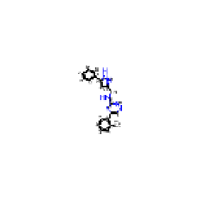 CCc1ccccc1-c1cnnc(NCc2cc(-c3ccccc3)[nH]n2)n1